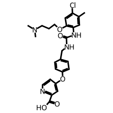 Cc1cc(NC(=O)NCc2ccc(Oc3ccnc(C(=O)O)c3)cc2)c(OCCCN(C)C)cc1Cl